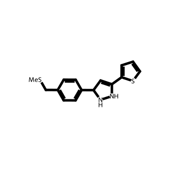 CSCc1ccc(C2C=C(c3cccs3)NN2)cc1